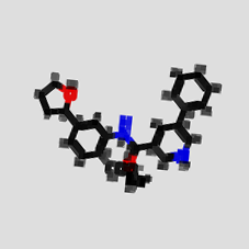 O=C(Nc1cc(C2CCCO2)ccc1C(=O)[O-])c1cncc(-c2ccccc2)c1.[Na+]